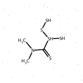 CN(C)C(=S)[SH](S)SS